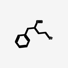 CC(C)CCC(C=O)Cc1ccccc1